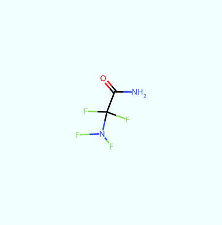 NC(=O)C(F)(F)N(F)F